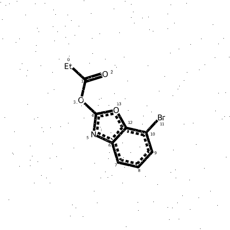 CCC(=O)Oc1nc2cccc(Br)c2o1